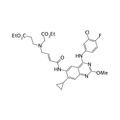 CCOC(=O)CCN(CC=CC(=O)Nc1cc2c(Nc3ccc(F)c(Cl)c3)nc(OC)nc2cc1C1CC1)CC(=O)OCC